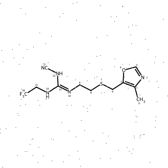 Cc1ncoc1CSCC/N=C(\NC#N)NCC(F)(F)F